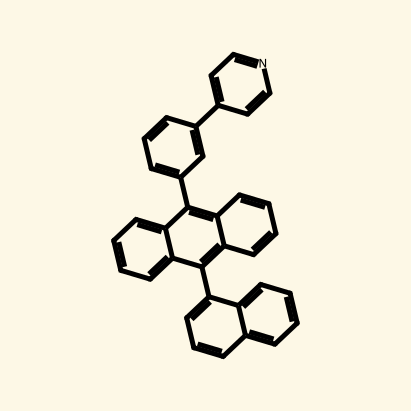 c1cc(-c2ccncc2)cc(-c2c3ccccc3c(-c3cccc4ccccc34)c3ccccc23)c1